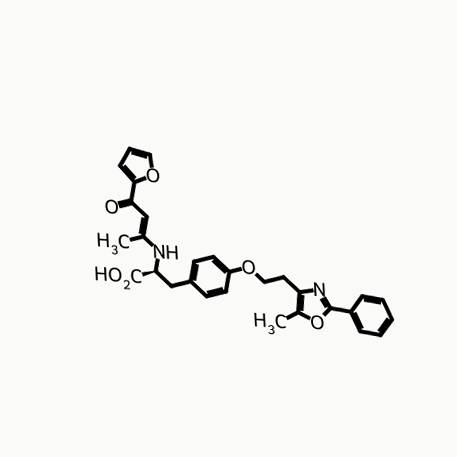 C/C(=C\C(=O)c1ccco1)N[C@@H](Cc1ccc(OCCc2nc(-c3ccccc3)oc2C)cc1)C(=O)O